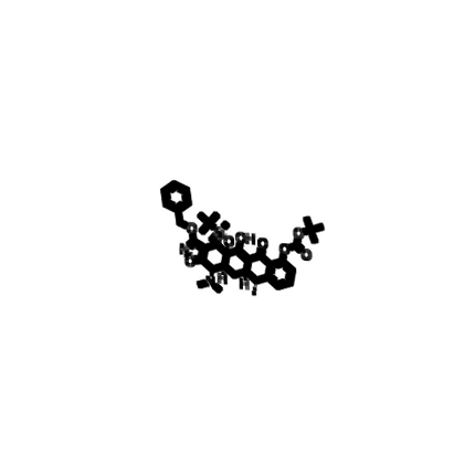 C[C@H]1c2cccc(OC(=O)OC(C)(C)C)c2C(=O)C2=C(O)[C@]3(O[Si](C)(C)C(C)(C)C)C(=O)c4c(OCc5ccccc5)noc4[C@@H](N(C)C)[C@@H]3C[C@@H]21